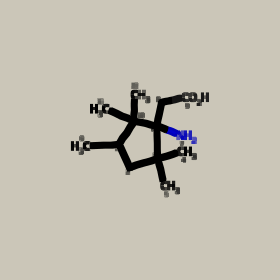 CC1CC(C)(C)C(N)(CC(=O)O)C1(C)C